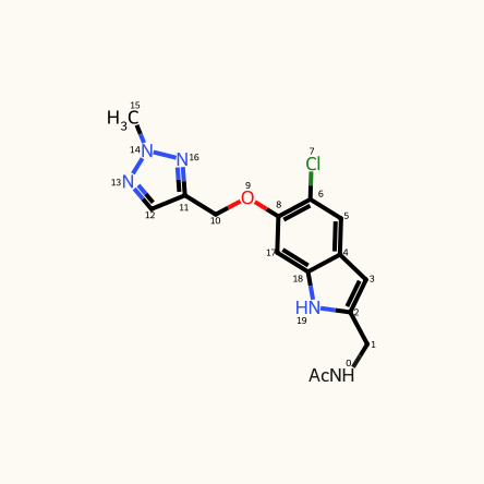 CC(=O)NCc1cc2cc(Cl)c(OCc3cnn(C)n3)cc2[nH]1